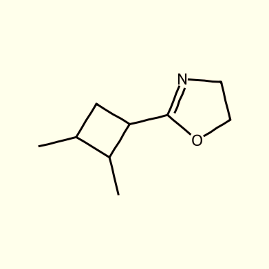 CC1CC(C2=NCCO2)C1C